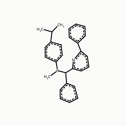 CC(C)c1ccc(N(C)C(c2ccccc2)c2cccc(-c3ccccc3)n2)cc1